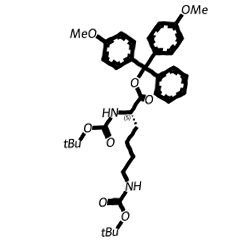 COc1ccc(C(OC(=O)[C@H](CCCCNC(=O)OC(C)(C)C)NC(=O)OC(C)(C)C)(c2ccccc2)c2ccc(OC)cc2)cc1